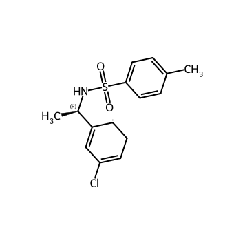 Cc1ccc(S(=O)(=O)N[C@H](C)C2=CC(Cl)=CC[CH]2)cc1